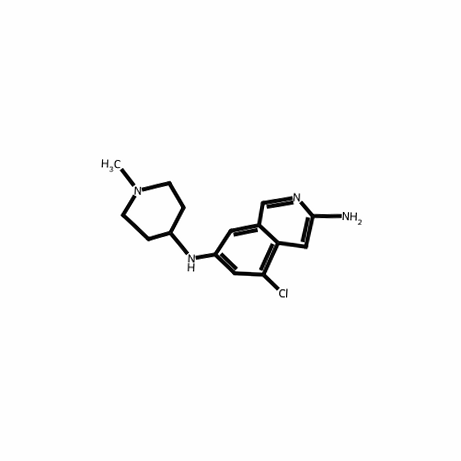 CN1CCC(Nc2cc(Cl)c3cc(N)ncc3c2)CC1